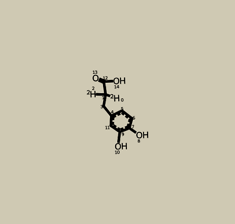 [2H]C([2H])(Cc1ccc(O)c(O)c1)C(=O)O